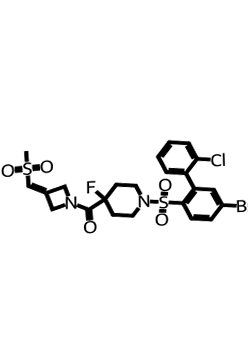 CS(=O)(=O)C=C1CN(C(=O)C2(F)CCN(S(=O)(=O)c3ccc(Br)cc3-c3ccccc3Cl)CC2)C1